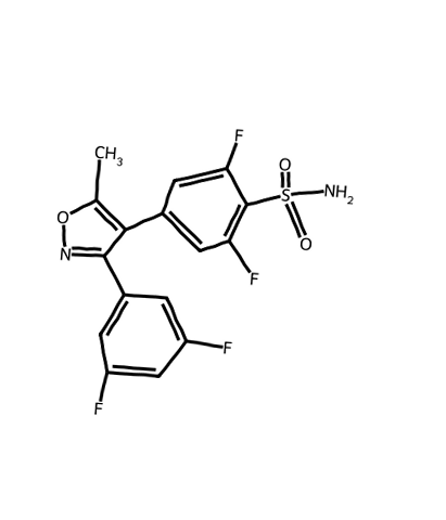 Cc1onc(-c2cc(F)cc(F)c2)c1-c1cc(F)c(S(N)(=O)=O)c(F)c1